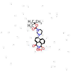 CC(C)(C)OC(=O)N1CCCN(c2ccc3c4c(cccc24)C(=O)N(O)C3=O)C1